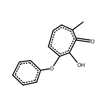 Cc1cccc(Oc2ccccc2)c(O)c1=O